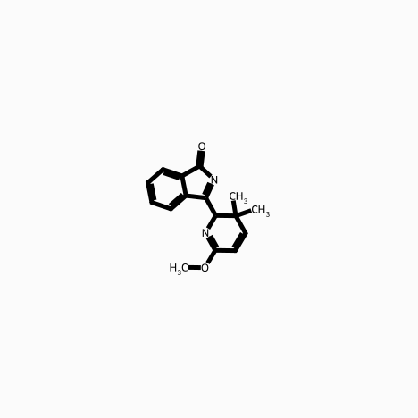 COC1=NC(C2=NC(=O)c3ccccc32)C(C)(C)C=C1